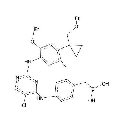 CCOCC1(c2cc(OC(C)C)c(Nc3ncc(Cl)c(Nc4ccc(CB(O)O)cc4)n3)cc2C)CC1